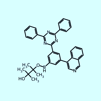 CC(C)(O)C(C)(C)OBc1cc(-c2nc(-c3ccccc3)nc(-c3ccccc3)n2)cc(-c2cncc3ccccc23)c1